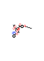 CCCCCCOc1ccc2c(C(=O)CC(CCn3nnc4ccccc4c3=O)(C(=O)OC(C)(C)C)C(=O)OC(C)(C)C)coc2c1